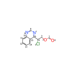 O=COCC(Cl)c1ncnc2ccccc12